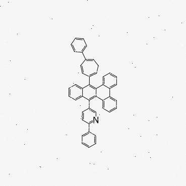 C1=CC(c2c3ccccc3c(-c3ccc(-c4ccccc4)nc3)c3c4ccccc4c4ccccc4c23)=CCC=C1c1ccccc1